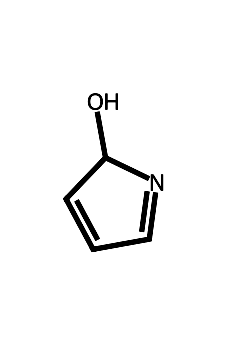 OC1C=CC=N1